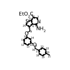 CCOC(=O)c1cnc(N)c2c(COc3cccc(OCc4ccc(C)cc4)c3)csc12